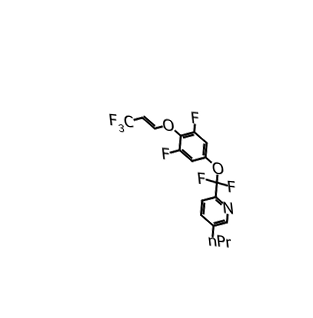 CCCc1ccc(C(F)(F)Oc2cc(F)c(O/C=C/C(F)(F)F)c(F)c2)nc1